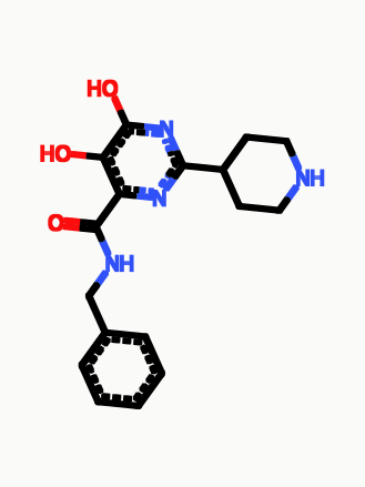 O=C(NCc1ccccc1)c1nc(C2CCNCC2)nc(O)c1O